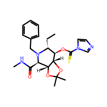 CC[C@@H]1[C@@H](OC(=S)n2ccnc2)[C@@H]2OC(C)(C)O[C@@H]2[C@@H](C(=O)NC)N1Cc1ccccc1